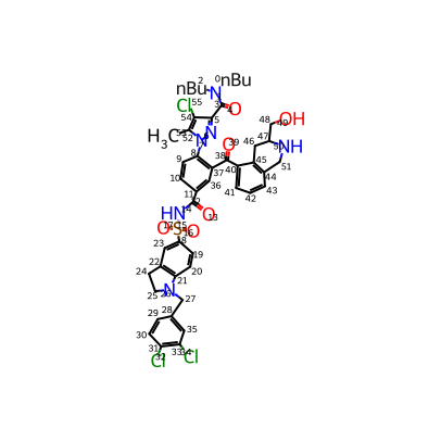 CCCCN(CCCC)C(=O)c1nn(-c2ccc(C(=O)NS(=O)(=O)c3ccc4c(c3)CCN4Cc3ccc(Cl)c(Cl)c3)cc2C(=O)c2cccc3c2CC(CO)NC3)c(C)c1Cl